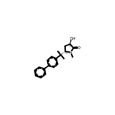 CN1C(=O)[C@H](O)C[C@H]1C(C)(C)c1ccc(-c2ccccc2)cc1